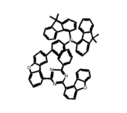 CC1(C)c2ccccc2-c2c(N(c3ccc(-c4ccc5oc6cccc(-c7nc(-c8ccccc8)nc(-c8cccc9oc%10ccccc%10c89)n7)c6c5c4)cc3)c3cccc4c3-c3ccccc3C4(C)C)cccc21